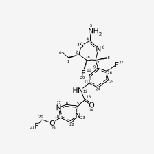 CC[C@H]1SC(N)=N[C@](C)(c2cc(NC(=O)c3cnc(OCF)cn3)ccc2F)[C@H]1F